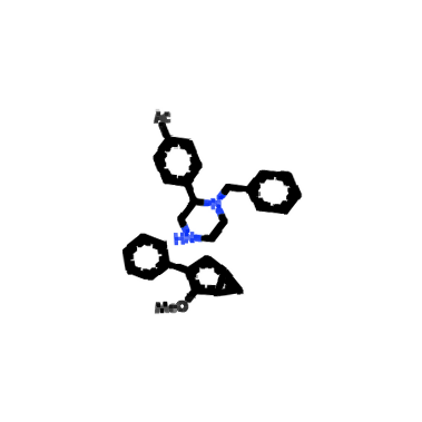 CC(=O)c1ccc(C2CNCCN2Cc2ccccc2)cc1.COc1c(-c2ccccc2)cc2cc1-2